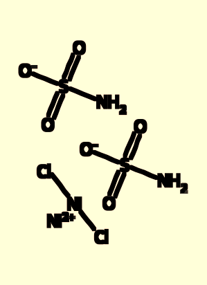 NS(=O)(=O)[O-].NS(=O)(=O)[O-].[Cl][Ni][Cl].[Ni+2]